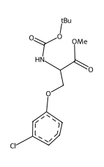 COC(=O)C(COc1cccc(Cl)c1)NC(=O)OC(C)(C)C